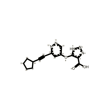 O=C(O)c1nn[nH]c1Oc1cnnc(C#CC2CCCC2)c1